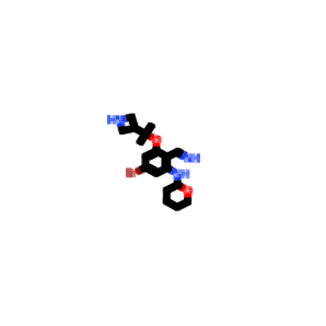 CC(C)(Oc1cc(Br)cc(NC2CCCCO2)c1C=N)C1CNC1